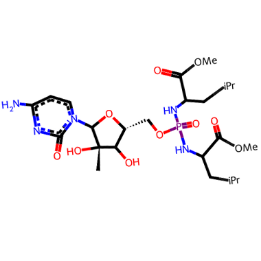 COC(=O)C(CC(C)C)NP(=O)(NC(CC(C)C)C(=O)OC)OC[C@H]1OC(n2ccc(N)nc2=O)[C@@](C)(O)C1O